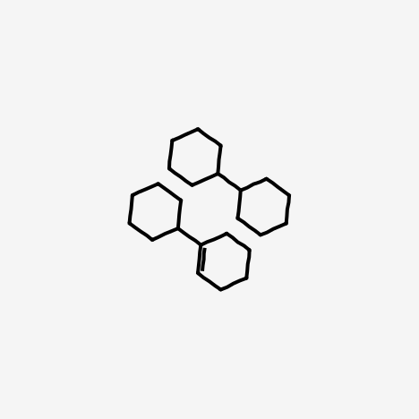 C1=C(C2CCCCC2)CCCC1.C1CCC(C2CCCCC2)CC1